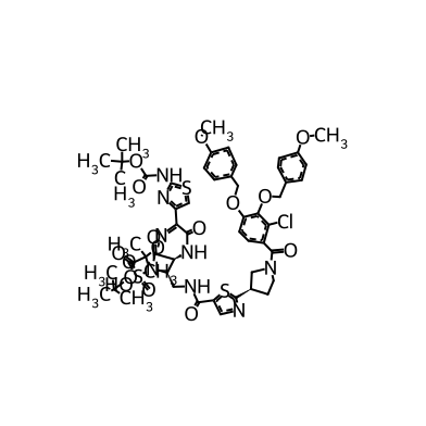 COc1ccc(COc2ccc(C(=O)N3CC[C@@H](c4ncc(C(=O)NC[C@@H]5[C@H](NC(=O)/C(=N\OC(C)(C)C(=O)OC(C)(C)C)c6csc(NC(=O)OC(C)(C)C)n6)C(=O)N5S(=O)(=O)O)s4)C3)c(Cl)c2OCc2ccc(OC)cc2)cc1